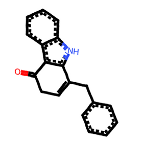 O=C1CC=C(Cc2ccccc2)c2[nH]c3ccccc3c21